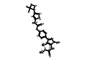 CC(C)n1nc(-c2ccc(CC(=O)Nc3cc(C4CCC4(C)C)no3)cc2)c(C#N)c1NC(=O)OC(C)(C)C